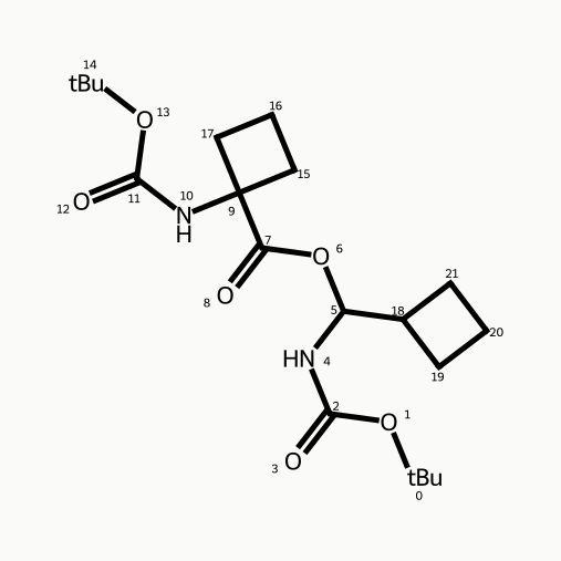 CC(C)(C)OC(=O)NC(OC(=O)C1(NC(=O)OC(C)(C)C)CCC1)C1CCC1